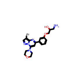 CC(C)c1cnn2c(N3CCOCC3)cc(-c3cccc(OCC(O)CN)c3)nc12